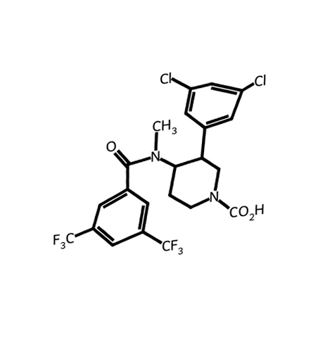 CN(C(=O)c1cc(C(F)(F)F)cc(C(F)(F)F)c1)C1CCN(C(=O)O)CC1c1cc(Cl)cc(Cl)c1